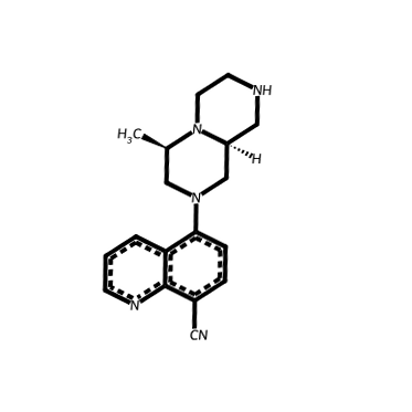 C[C@@H]1CN(c2ccc(C#N)c3ncccc23)C[C@@H]2CNCCN21